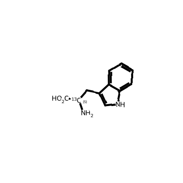 N[13C@@H](Cc1c[nH]c2ccccc12)C(=O)O